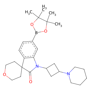 CC1(C)OB(c2ccc3c(c2)N(C2CC(N4CCCCC4)C2)C(=O)C32CCOCC2)OC1(C)C